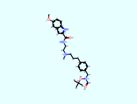 COc1ccc2[nH]c(C(=O)NCCN(C)CCCc3ccc(CN(C=O)OC(C)(C)C)cc3)cc2c1